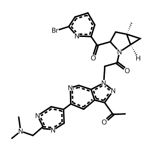 CC(=O)c1nn(CC(=O)N2C(C(=O)c3cccc(Br)n3)C[C@@]3(C)C[C@@H]23)c2cnc(-c3cnc(CN(C)C)nc3)cc12